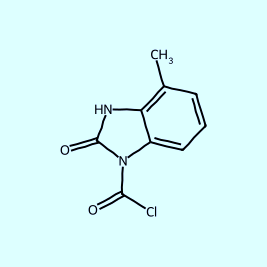 Cc1cccc2c1[nH]c(=O)n2C(=O)Cl